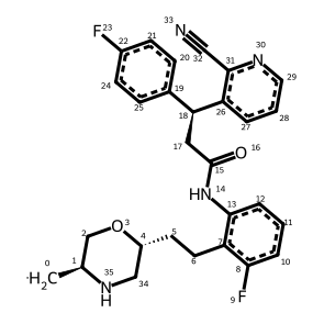 [CH2][C@H]1CO[C@H](CCc2c(F)cccc2NC(=O)C[C@@H](c2ccc(F)cc2)c2cccnc2C#N)CN1